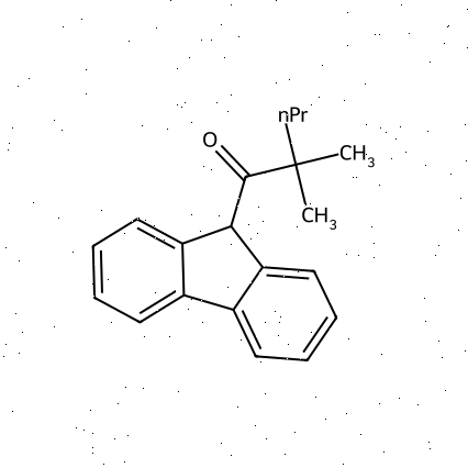 CCCC(C)(C)C(=O)C1c2ccccc2-c2ccccc21